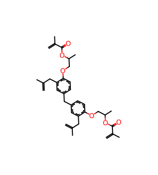 C=C(C)Cc1cc(Cc2ccc(OCC(C)OC(=O)C(=C)C)c(CC(=C)C)c2)ccc1OCC(C)OC(=O)C(=C)C